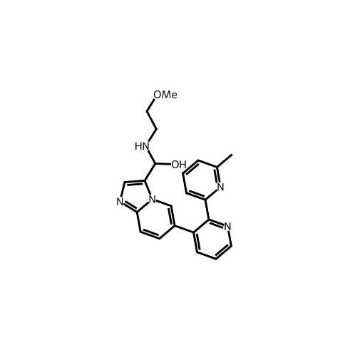 COCCNC(O)c1cnc2ccc(-c3cccnc3-c3cccc(C)n3)cn12